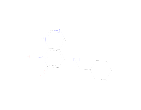 O=c1cc(NCC2CCCCC2)c2cncnc2n1O